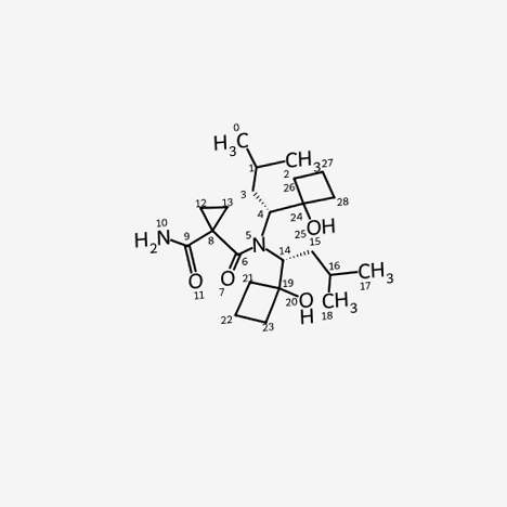 CC(C)C[C@@H](N(C(=O)C1(C(N)=O)CC1)[C@H](CC(C)C)C1(O)CCC1)C1(O)CCC1